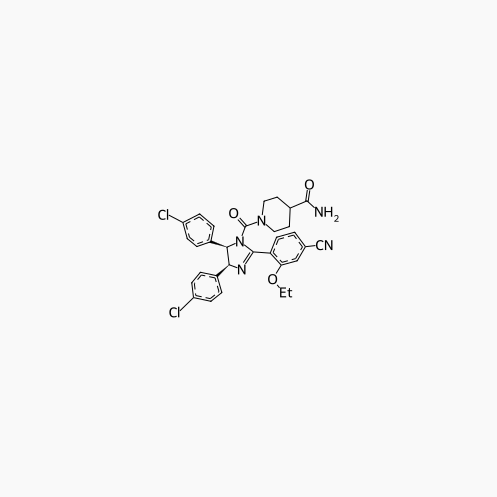 CCOc1cc(C#N)ccc1C1=N[C@@H](c2ccc(Cl)cc2)[C@@H](c2ccc(Cl)cc2)N1C(=O)N1CCC(C(N)=O)CC1